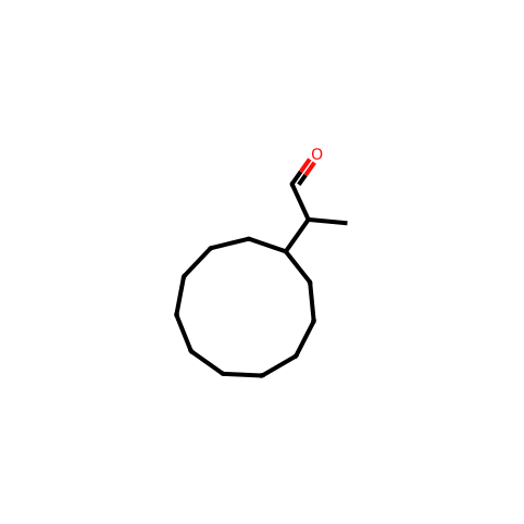 CC(C=O)C1CCCCCCCCCC1